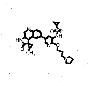 CC1CC12C(=O)Nc1cnc3ccc(-c4cnc(OCCCN5CCCC5)c(NS(=O)(=O)C5CC5)c4)cc3c12